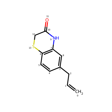 C=CCc1c[c]c2c(c1)NC(=O)CS2